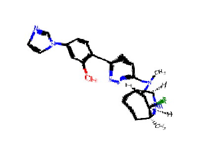 CN(c1ccc(-c2ccc(-n3ccnc3)cc2O)nn1)[C@@H]1[C@H]2CC[C@](C)(NC2)[C@@H]1F